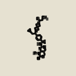 C=CC(=O)N1CC2(C1)CN(C(CC1CC1)c1ccc(C3(Nc4ncc5c(n4)N(C(C)C)C(=O)OC5)CC3)cc1)C2